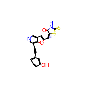 O=C1NC(=S)S/C1=C/c1cc2cncc(C#Cc3cccc(O)c3)c2o1